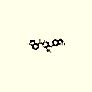 Nc1nc(Nc2cccc3[nH]ccc23)ncc1Cc1ccc2cc[nH]c2c1